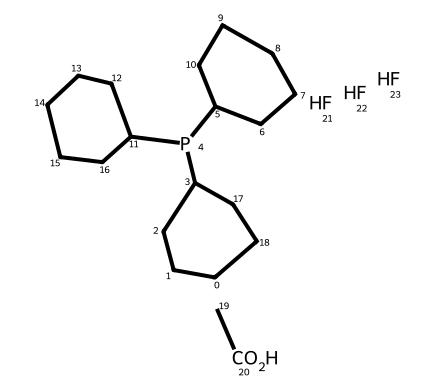 C1CCC(P(C2CCCCC2)C2CCCCC2)CC1.CC(=O)O.F.F.F